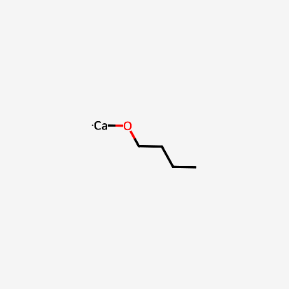 CCCC[O][Ca]